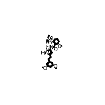 C=CS(=O)(=O)Nc1cccc(OC)c1C(=O)Nc1cc(CCc2cc(OC)cc(OC)c2)[nH]n1